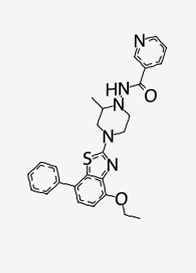 CCOc1ccc(-c2ccccc2)c2sc(N3CCN(NC(=O)c4cccnc4)C(C)C3)nc12